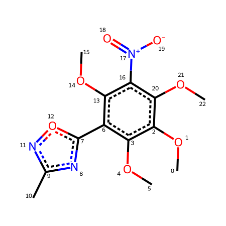 COc1c(OC)c(-c2nc(C)no2)c(OC)c([N+](=O)[O-])c1OC